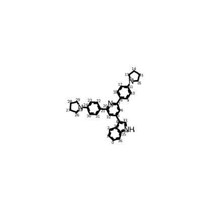 c1ccc2c(-c3cc(-c4ccc(N5CCCC5)cc4)nc(-c4ccc(N5CCCC5)cc4)c3)c[nH]c2c1